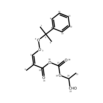 CC(=COOC(C)(C)c1ccccc1)C(=O)OC(=O)OC(C)C=O